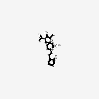 CC1OC2(CCN(CCc3ccccc3F)CC2)CN(C(C)C)C1=O.Cl